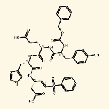 O=C(O)CC[C@H](NC(=O)[C@H](Cc1ccc(O)cc1)NC(=O)OCc1ccccc1)C(=O)N[C@@H](Cc1c[nH]cn1)C(=O)N[C@H](/C=C/S(=O)(=O)c1ccccc1)CC(=O)O